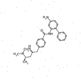 C[C@H](CC(=N)Cc1ccc(C(=O)Nc2cc(N)ccc2-c2ccccc2)cc1)N(C)C